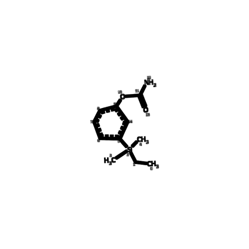 CC[Si](C)(C)c1cccc(OC(N)=O)c1